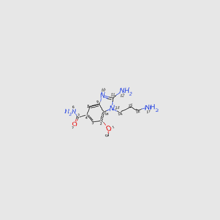 COc1cc(C(N)=O)cc2nc(N)n(CCCN)c12